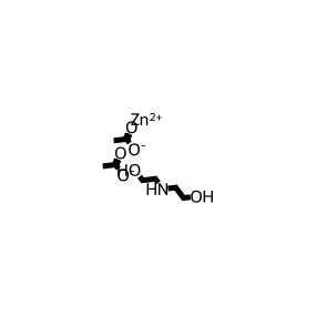 CC(=O)[O-].CC(=O)[O-].OCCNCCO.[Zn+2]